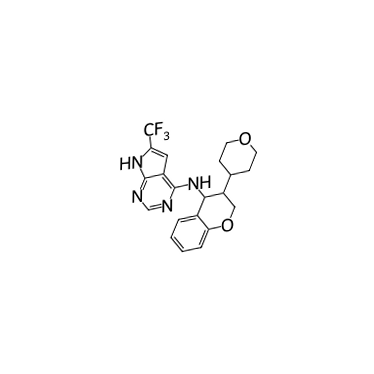 FC(F)(F)c1cc2c(NC3c4ccccc4OCC3C3CCOCC3)ncnc2[nH]1